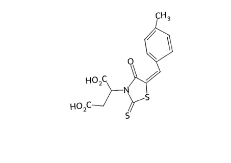 Cc1ccc(C=C2SC(=S)N(C(CC(=O)O)C(=O)O)C2=O)cc1